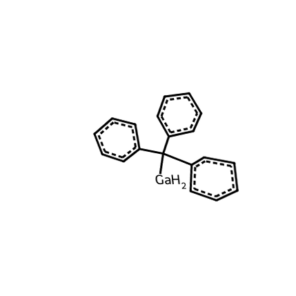 [GaH2][C](c1ccccc1)(c1ccccc1)c1ccccc1